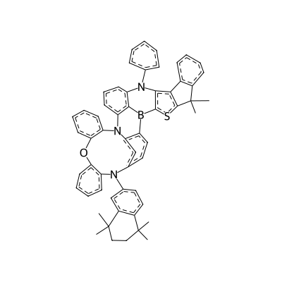 CC1(C)CCC(C)(C)c2cc(N3c4ccc5c(c4)N(c4ccccc4Oc4ccccc43)c3cccc4c3B5c3sc5c(c3N4c3ccccc3)-c3ccccc3C5(C)C)ccc21